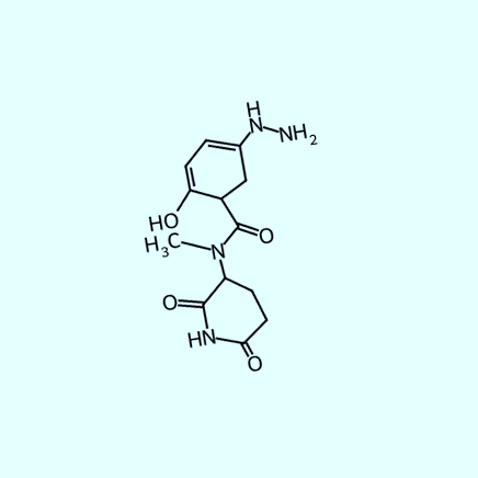 CN(C(=O)C1CC(NN)=CC=C1O)C1CCC(=O)NC1=O